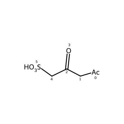 CC(=O)CC(=O)CS(=O)(=O)O